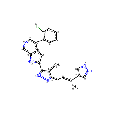 C=c1c(-c2cc3c(-c4ccccc4F)cncc3[nH]2)n[nH]/c1=C/C=C(\C)c1cn[nH]c1